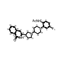 CC(=O)Nc1ccc(F)cc1N1CCC(N2CCC(c3cc4ccccc4c(=O)[nH]3)C2)CC1